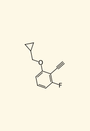 C#Cc1c(F)cccc1OCC1CC1